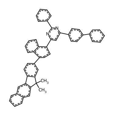 CC1(C)c2cc(-c3ccc(-c4cc(-c5ccc(-c6ccccc6)cc5)nc(-c5ccccc5)n4)c4ccccc34)ccc2-c2cc3ccccc3cc21